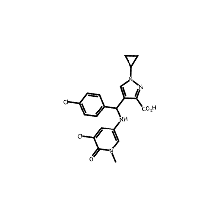 Cn1cc(NC(c2ccc(Cl)cc2)c2cn(C3CC3)nc2C(=O)O)cc(Cl)c1=O